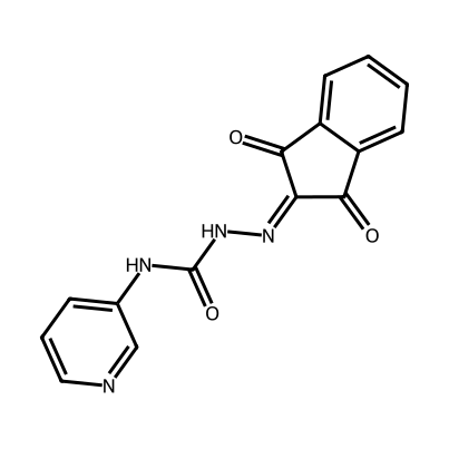 O=C(NN=c1c(=O)c2ccccc2c1=O)Nc1cccnc1